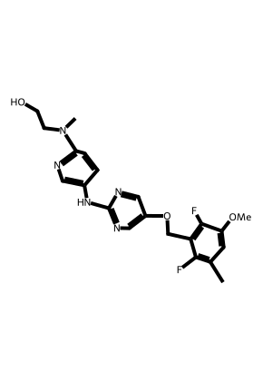 COc1cc(C)c(F)c(COc2cnc(Nc3ccc(N(C)CCO)nc3)nc2)c1F